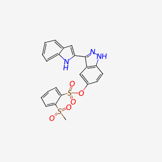 CS(=O)(=O)c1ccccc1S(=O)(=O)Oc1ccc2[nH]nc(-c3cc4ccccc4[nH]3)c2c1